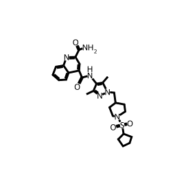 Cc1nn(CC2CCN(S(=O)(=O)C3CCCC3)CC2)c(C)c1NC(=O)c1cc(C(N)=O)nc2ccccc12